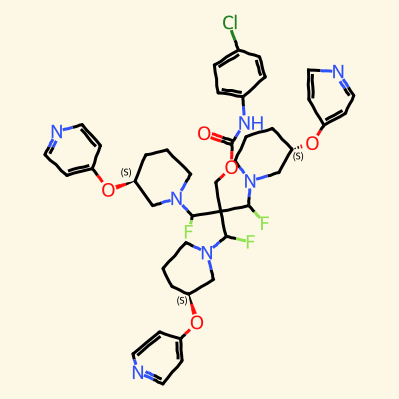 O=C(Nc1ccc(Cl)cc1)OCC(C(F)N1CCC[C@H](Oc2ccncc2)C1)(C(F)N1CCC[C@H](Oc2ccncc2)C1)C(F)N1CCC[C@H](Oc2ccncc2)C1